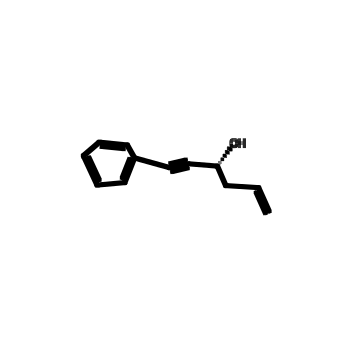 C=CC[C@@H](O)C#Cc1ccccc1